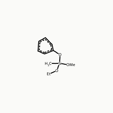 CCO[Si](C)(OC)Oc1ccccc1